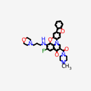 CN1CCN(C(=O)c2cn3c4c(c(NCCCN5CCOCC5)c(F)cc4c2=O)Oc2cc4c(cc2-3)oc2ccccc24)CC1